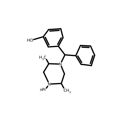 CCCN1CC(C)N(C(c2ccccc2)c2cccc(O)c2)CC1C